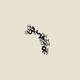 C=C1/C(=C\C=C(/C)Oc2ccnc3c2CCC(=O)N3)O[C@@H]2[C@@H](NC(=O)Nc3ccc(C)c(C(F)(F)F)c3)[C@H]12